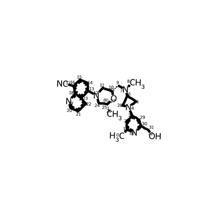 Cc1cc(N2CC(N(C)C[C@H]3CN(c4ccc(C#N)c5ncccc45)C[C@@H](C)O3)C2)cc(CO)n1